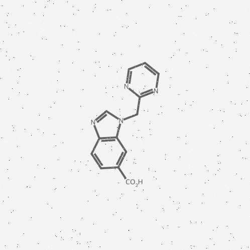 O=C(O)c1ccc2ncn(Cc3ncccn3)c2c1